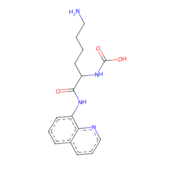 NCCCCC(NC(=O)O)C(=O)Nc1cccc2cccnc12